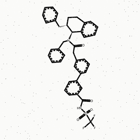 O=C(NS(=O)(=O)C(F)(F)F)c1cccc(-c2cccc(CC(=O)N(Cc3ccccc3)[C@@H]3c4ccccc4CC[C@H]3Cc3ccccc3)c2)c1